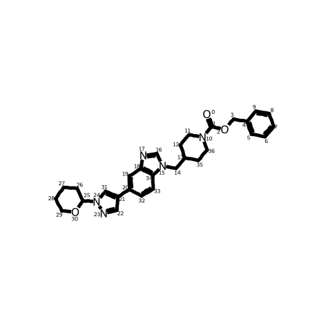 O=C(OCc1ccccc1)N1CCC(Cn2cnc3cc(-c4cnn(C5CCCCO5)c4)ccc32)CC1